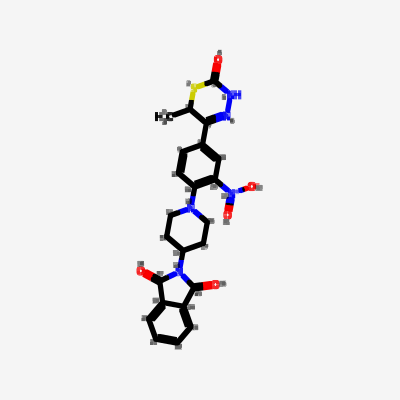 CC1SC(=O)NN=C1c1ccc(N2CCC(N3C(=O)c4ccccc4C3=O)CC2)c([N+](=O)[O-])c1